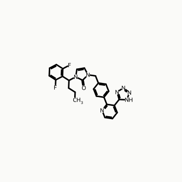 CCCC(c1c(F)cccc1F)n1ccn(Cc2ccc(-c3ncccc3-c3nnn[nH]3)cc2)c1=O